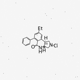 CCc1cc(-c2ccccc2)c2c(c1)[C@H]1CN(Cl)C[C@@H]1NC2=O